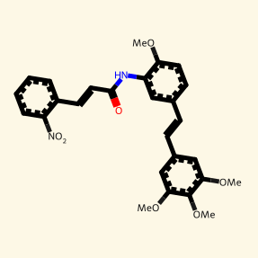 COc1ccc(C=Cc2cc(OC)c(OC)c(OC)c2)cc1NC(=O)/C=C/c1ccccc1[N+](=O)[O-]